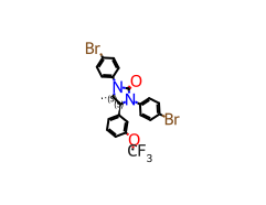 C[C@H]1[C@H](c2cccc(OC(F)(F)F)c2)N(c2ccc(Br)cc2)C(=O)N1c1ccc(Br)cc1